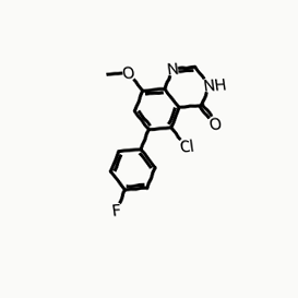 COc1cc(-c2ccc(F)cc2)c(Cl)c2c(=O)[nH]cnc12